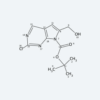 CC(C)(C)OC(=O)n1c(CO)cc2cnc(Cl)nc21